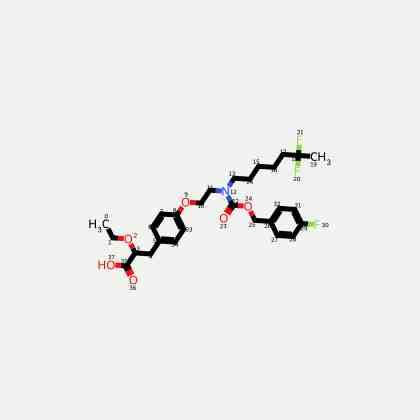 CCOC(Cc1ccc(OCCN(CCCCCC(C)(F)F)C(=O)OCc2ccc(F)cc2)cc1)C(=O)O